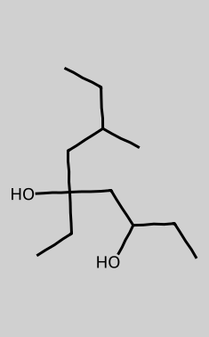 CCC(C)CC(O)(CC)CC(O)CC